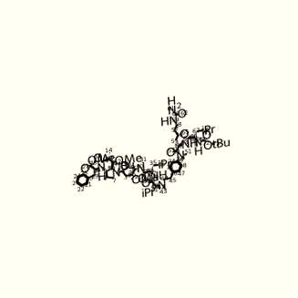 CC[C@H](C)[C@@H]([C@@H](CC(=O)N1CCC[C@H]1[C@H](OC)[C@@H](C)C(=O)N[C@@H](Cc1ccccc1)C(=O)OC)OC)N(C)C(=O)[C@H](CC(C)C)NC(=O)[C@H](C(C)C)N(C)CCc1ccc(N(C)C(=O)[C@H](CCCCNC(N)=O)NC(=O)[C@H](CC(C)C)NC(=O)OC(C)(C)C)cc1